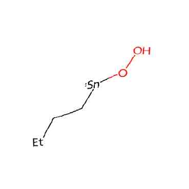 CCC[CH2][Sn][O]O